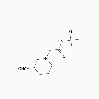 CCC(C)(C)NC(=O)CN1CCCC(C=O)C1